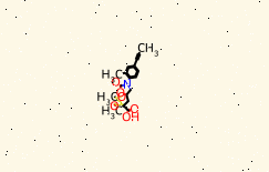 CC#Cc1ccc(N2CC(CC(C)(C(=O)O)S(C)(=O)=O)OC2=O)c(C)c1